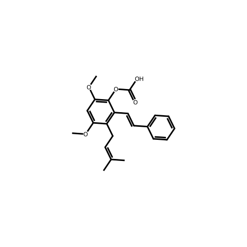 COc1cc(OC)c(OC(=O)O)c(C=Cc2ccccc2)c1CC=C(C)C